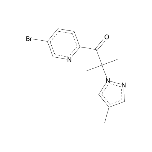 Cc1cnn(C(C)(C)C(=O)c2ccc(Br)cn2)c1